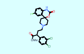 COC(=O)C(CCN1CCC2(CC1)OC(=O)Nc1ccc(F)cc12)c1ccc(Cl)c(Cl)c1